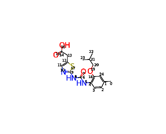 Cc1ccc(NC(=O)Nc2ncc(CC(=O)O)s2)c(OCC(C)C)c1